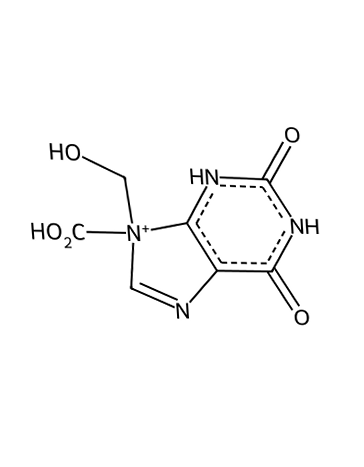 O=C(O)[N+]1(CO)C=Nc2c1[nH]c(=O)[nH]c2=O